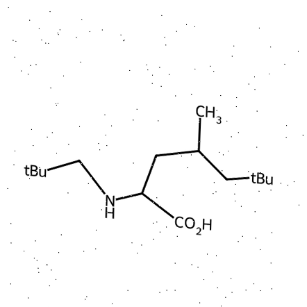 CC(CC(NCC(C)(C)C)C(=O)O)CC(C)(C)C